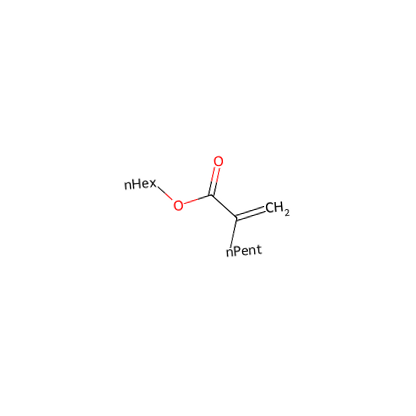 C=C(CCCCC)C(=O)OCCCCCC